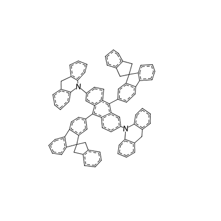 c1ccc2c(c1)CC1(C2)c2ccccc2-c2ccc(-c3c4ccc(N5c6ccccc6Cc6ccccc65)cc4c(-c4ccc5c(c4)C4(Cc6ccccc6C4)c4ccccc4-5)c4ccc(N5c6ccccc6Cc6ccccc65)cc34)cc21